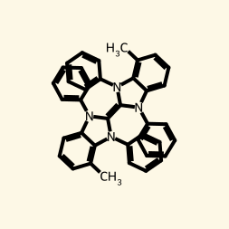 Cc1cccc2c1N(c1ccccc1)/C(=C1\N(c3ccccc3)c3cccc(C)c3N1c1ccccc1)N2c1ccccc1